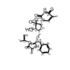 Cc1cn([C@@H]2O[C@H](COP(=S)(NC(C)C(=O)OC(C)C)Oc3ccccc3)[C@@H](O)C2(Cl)Cl)c(=O)[nH]c1=O